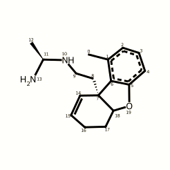 Cc1cccc2c1[C@]1(CCN[C@H](C)N)C=CCCC1O2